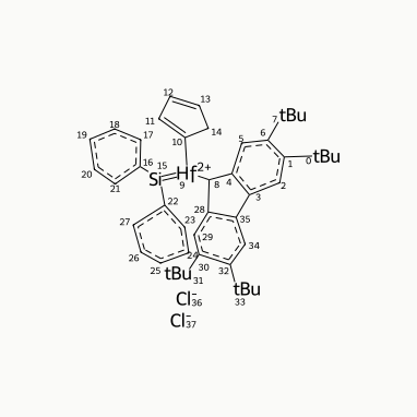 CC(C)(C)c1cc2c(cc1C(C)(C)C)[CH]([Hf+2]([C]1=CC=CC1)=[Si](c1ccccc1)c1ccccc1)c1cc(C(C)(C)C)c(C(C)(C)C)cc1-2.[Cl-].[Cl-]